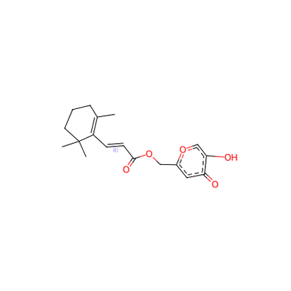 CC1=C(/C=C/C(=O)OCc2cc(=O)c(O)co2)C(C)(C)CCC1